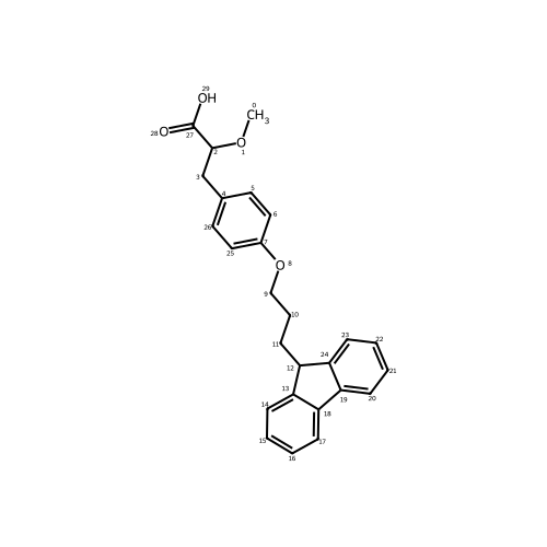 COC(Cc1ccc(OCCCC2c3ccccc3-c3ccccc32)cc1)C(=O)O